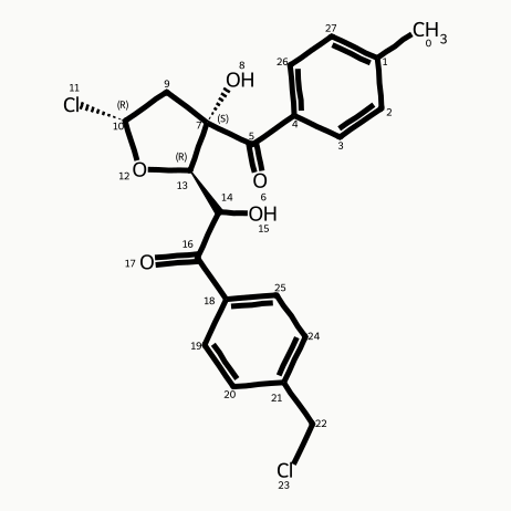 Cc1ccc(C(=O)[C@]2(O)C[C@@H](Cl)O[C@@H]2C(O)C(=O)c2ccc(CCl)cc2)cc1